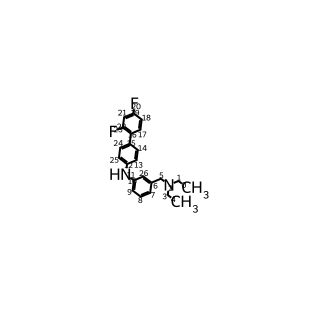 CCN(CC)Cc1cccc(Nc2ccc(-c3ccc(F)cc3F)cc2)c1